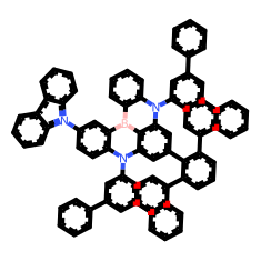 c1ccc(-c2cc(-c3ccccc3)cc(N3c4ccccc4B4c5cc(-n6c7ccccc7c7ccccc76)ccc5N(c5cc(-c6ccccc6)cc(-c6ccccc6)c5)c5cc(-c6c(-c7ccccc7)cccc6-c6ccccc6)cc3c54)c2)cc1